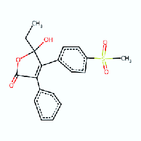 CCC1(O)OC(=O)C(c2ccccc2)=C1c1ccc(S(C)(=O)=O)cc1